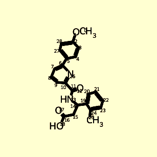 COc1ccc(-c2cccc(C(=O)NC(CC(=O)O)c3ccccc3C)n2)cc1